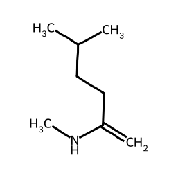 C=C(CCC(C)C)NC